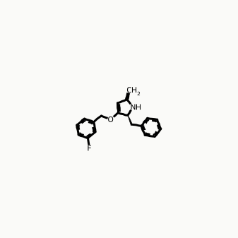 C=C1C=C(OCc2cccc(F)c2)[C@H](Cc2ccccc2)N1